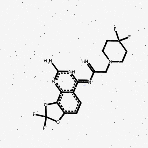 N=C(CN1CCC(F)(F)CC1)/N=c1\[nH]c(N)nc2c3c(ccc12)OC(F)(F)O3